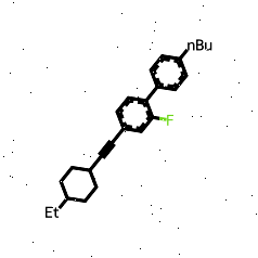 CCCCc1ccc(-c2ccc(C#CC3CCC(CC)CC3)cc2F)cc1